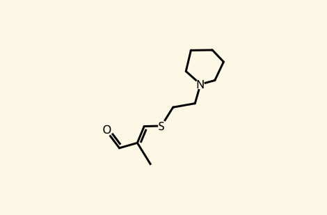 C/C(C=O)=C\SCCN1CCCCC1